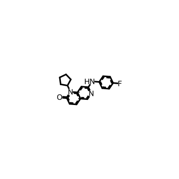 O=c1ccc2cnc(Nc3ccc(F)cc3)cc2n1C1CCCC1